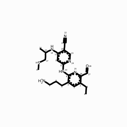 CCc1cc(CCCN)c(Nc2cc(NC(C)CSC)c(C#N)cn2)nc1C=O